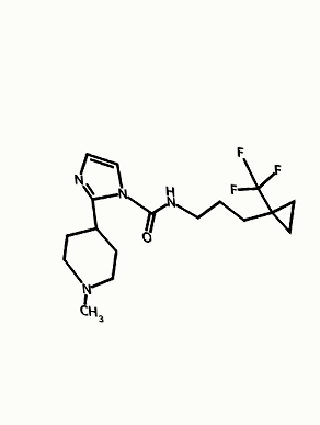 CN1CCC(c2nccn2C(=O)NCCCC2(C(F)(F)F)CC2)CC1